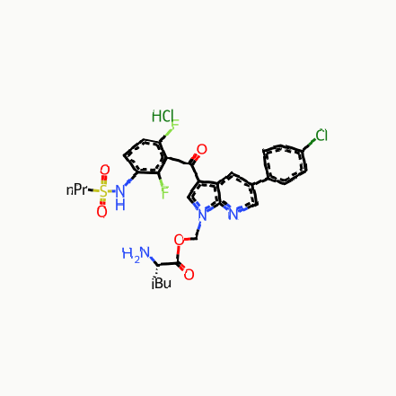 CCCS(=O)(=O)Nc1ccc(F)c(C(=O)c2cn(COC(=O)[C@@H](N)C(C)CC)c3ncc(-c4ccc(Cl)cc4)cc23)c1F.Cl